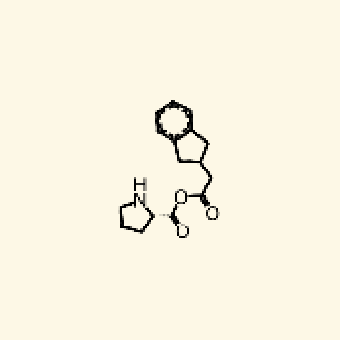 O=C(CC1Cc2ccccc2C1)OC(=O)[C@@H]1CCCN1